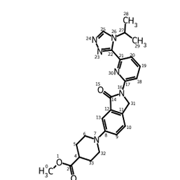 COC(=O)C1CCN(c2ccc3c(c2)C(=O)N(c2cccc(-c4nncn4C(C)C)n2)C3)CC1